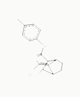 CC(C)=C1C2CCC1C(C(=O)Nc1ccc(C)cc1)C2C(=O)O